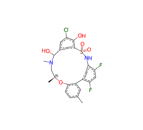 Cc1ccc2c(c1)-c1cc(c(F)cc1F)NS(=O)(=O)c1cc(cc(Cl)c1O)C(O)N(C)C[C@H](C)O2